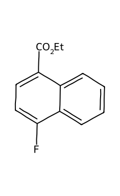 CCOC(=O)c1ccc(F)c2ccccc12